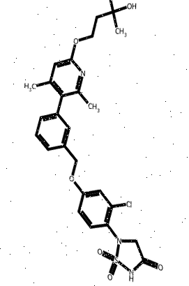 Cc1cc(OCCC(C)(C)O)nc(C)c1-c1cccc(COc2ccc(N3CC(=O)NS3(=O)=O)c(Cl)c2)c1